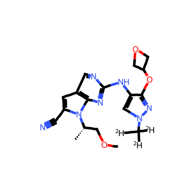 [2H]C([2H])([2H])n1cc(Nc2ncc3cc(C#N)n([C@@H](C)COC)c3n2)c(OC2COC2)n1